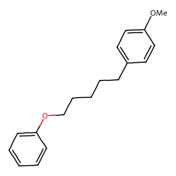 COc1ccc(CCCCCOc2ccccc2)cc1